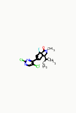 CC(C)c1cn(C)c(=O)c2c(F)cc(-c3nc(Cl)ncc3Cl)cc12